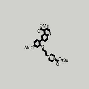 COC(=O)c1ccnc2ccc(-c3ccc(OC)cc3OCCCN3CCN(C(=O)OC(C)(C)C)CC3)cc12